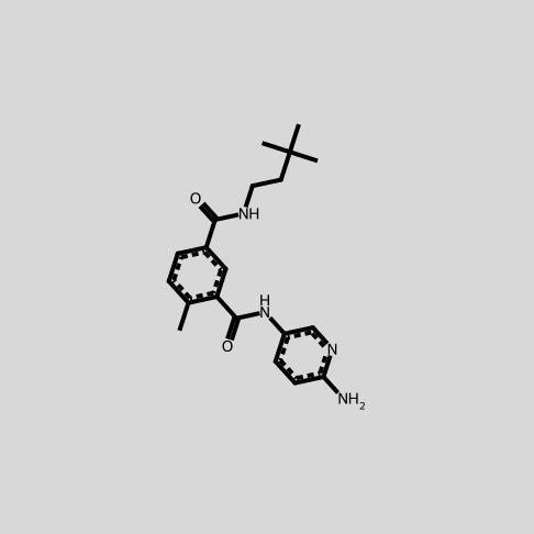 Cc1ccc(C(=O)NCCC(C)(C)C)cc1C(=O)Nc1ccc(N)nc1